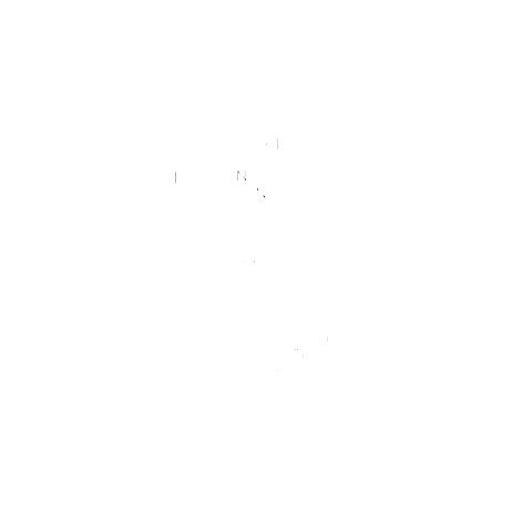 CS(=O)(=O)c1ccc(OCc2cc(C(F)(F)F)nn2-c2ccccc2Cl)cc1